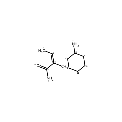 CC=C(C)C(N)=O.NC1CCCCC1